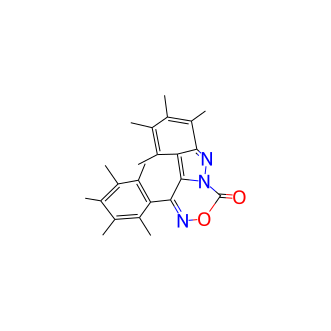 Cc1c(C)c(C)c(-c2noc(=O)n3nc4c(C)c(C)c(C)c(C)c4c23)c(C)c1C